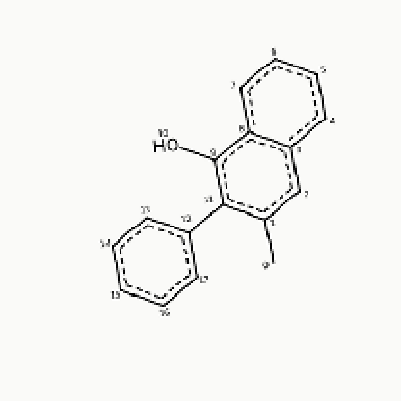 Cc1cc2ccccc2c(O)c1-c1ccccc1